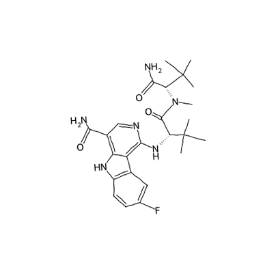 CN(C(=O)[C@@H](Nc1ncc(C(N)=O)c2[nH]c3ccc(F)cc3c12)C(C)(C)C)[C@H](C(N)=O)C(C)(C)C